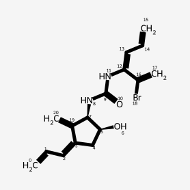 C=C/C=C1/C[C@H](O)[C@H](NC(=O)N/C(=C/C=C)C(=C)Br)C1=C